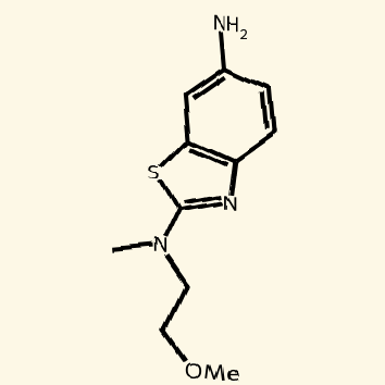 COCCN(C)c1nc2ccc(N)cc2s1